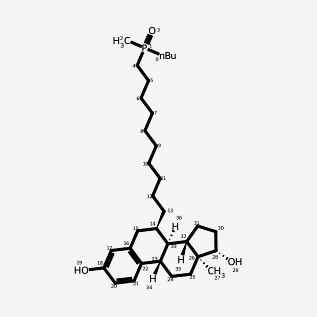 CCCCP(C)(=O)CCCCCCCCCC[C@@H]1Cc2cc(O)ccc2[C@H]2CC[C@]3(C)[C@@H](O)CC[C@H]3[C@H]12